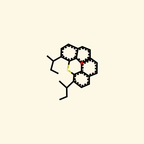 CCC(C)c1ccc2ccccc2c1Sc1c(C(C)CC)ccc2ccccc12